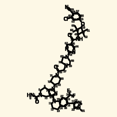 CNC(=O)N1CCc2c(c(N3CCCc4cc(-c5cnn(C)c5)c(C(F)F)cc43)nn2C2CCN(C(=O)CN3CCN(c4ncc(C(=O)NC5C(C)(C)C(Oc6ccc(C#N)c(Cl)c6)C5(C)C)cn4)CC3)CC2)C1